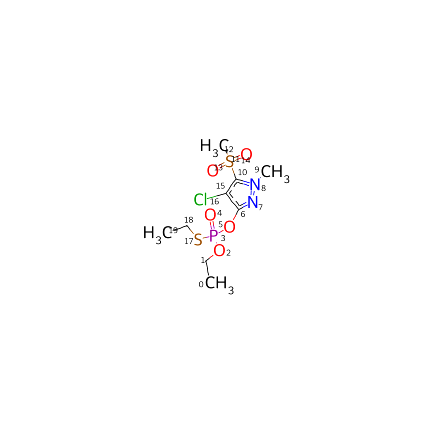 CCOP(=O)(Oc1nn(C)c(S(C)(=O)=O)c1Cl)SCC